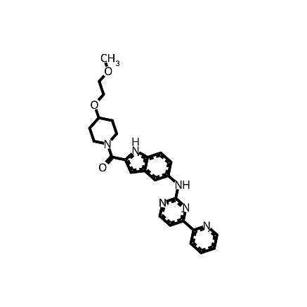 COCCOC1CCN(C(=O)c2cc3cc(Nc4nccc(-c5ccccn5)n4)ccc3[nH]2)CC1